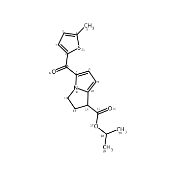 Cc1ccc(C(=O)c2ccc3n2CCC3C(=O)OC(C)C)s1